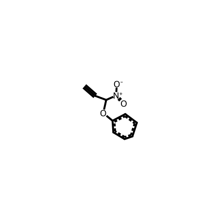 C#CC(Oc1ccccc1)[N+](=O)[O-]